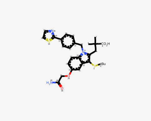 CC(C)(C)Sc1c(CC(C)(C)C(=O)O)n(Cc2ccc(-c3nccs3)cc2)c2ccc(OCC(N)=O)cc12